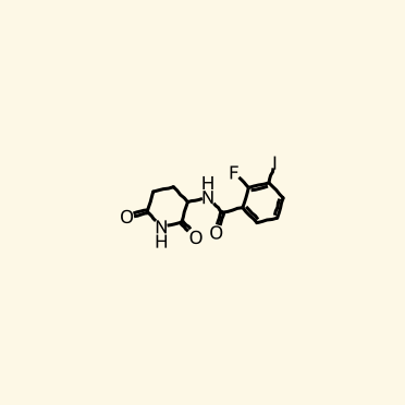 O=C1CCC(NC(=O)c2cccc(I)c2F)C(=O)N1